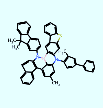 Cc1cc2c3c(c1)N(c1ccc(-c4ccccc4)cc1C)c1cc4sc5ccccc5c4cc1B3N(c1ccc3c(c1)C(C)(C)c1ccccc1-3)c1ccc3ccccc3c1-2